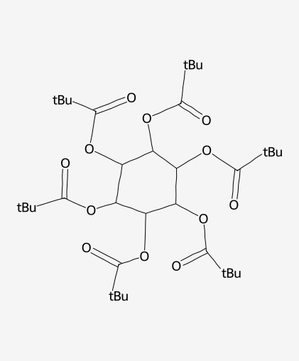 CC(C)(C)C(=O)OC1C(OC(=O)C(C)(C)C)C(OC(=O)C(C)(C)C)C(OC(=O)C(C)(C)C)C(OC(=O)C(C)(C)C)C1OC(=O)C(C)(C)C